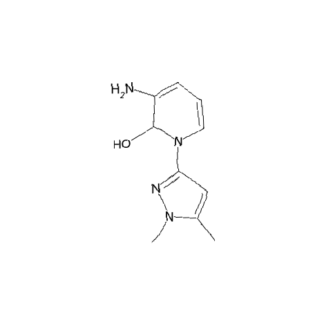 Cc1cc(N2C=CC=C(N)C2O)nn1C